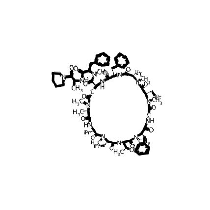 CC(C)C[C@H]1C(=O)N(C)[C@@H](C(C)C)C(=O)N[C@@H](Cc2ccccc2)C(=O)N[C@H](C(=O)N(C)C(Cc2ccccc2)C(=O)NC(C)C(=O)N2CCCCC2)CC(=O)N(C)[C@@H](C)C(=O)N[C@@H](C(C)C)C(=O)N(C)[C@@H](CC(C)C)C(=O)N[C@@H]([C@@H](C)O)C(=O)N(C)[C@@H](Cc2ccccc2)C(=O)NCC(=O)N1C